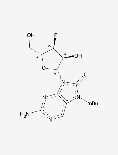 CCCCn1c(=O)n([C@@H]2O[C@H](CO)[C@@H](F)[C@H]2O)c2nc(N)ncc21